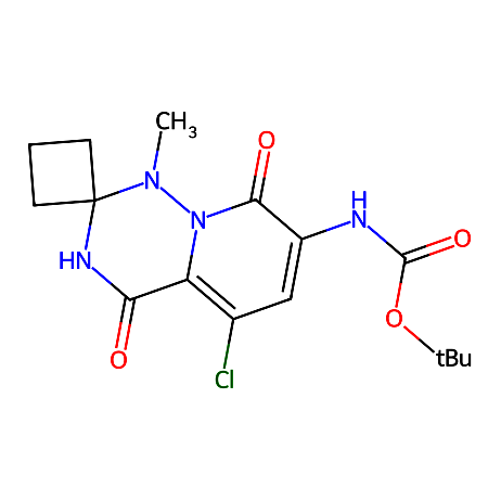 CN1n2c(c(Cl)cc(NC(=O)OC(C)(C)C)c2=O)C(=O)NC12CCC2